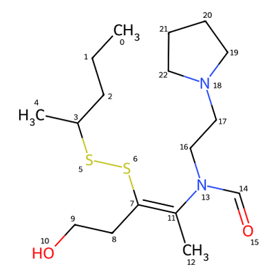 CCCC(C)SSC(CCO)=C(C)N(C=O)CCN1CCCC1